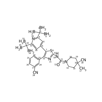 BC(B)(B)c1cc(-c2sc(NC(=O)N3CCC(C)(C#N)CC3)nc2-c2cccc(C#N)c2)cc(C(B)(B)B)n1